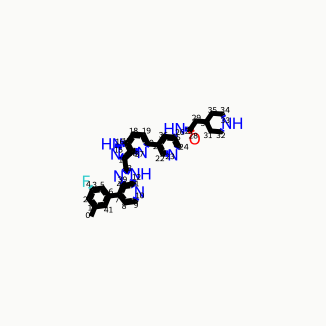 Cc1cc(F)cc(-c2ccnc3[nH]c(-c4n[nH]c5ccc(-c6cncc(NC(=O)CC7CCNCC7)c6)nc45)nc23)c1